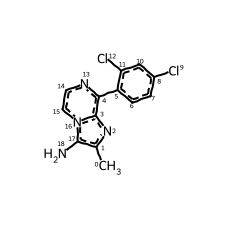 Cc1nc2c(-c3ccc(Cl)cc3Cl)nccn2c1N